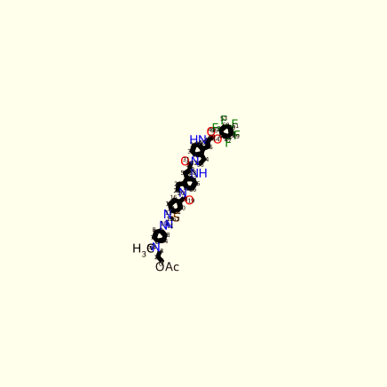 CC(=O)OCCCN(C)c1ccc(/N=N/c2nc3ccc(C(=O)N4CCc5c4ccc4[nH]c(C(=O)N6CCc7c6ccc6[nH]c(C(=O)Oc8c(F)c(F)c(F)c(F)c8F)cc76)cc54)cc3s2)cc1